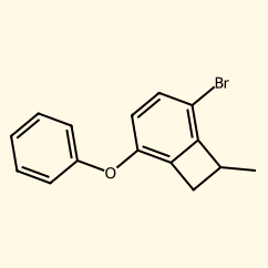 CC1Cc2c(Oc3ccccc3)ccc(Br)c21